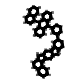 c1cc(-c2ccc3sc4cc5c(cc4c3c2)oc2ccc3ccccc3c25)cc(-c2c3ccccc3c(-c3cccc4ccccc34)c3ccccc23)c1